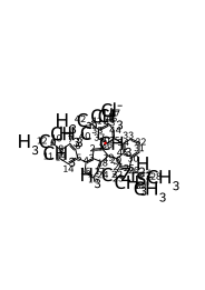 CC1=Cc2c(-c3ccc(C(C)(C)C)cc3)cccc2C1C1=C(C(C)C)[CH]([Zr+2][SiH](C)C)c2cccc(-c3ccc(C(C)(C)C)cc3)c21.[Cl-].[Cl-]